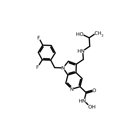 CC(O)CNCc1cn(Cc2ccc(F)cc2F)c2cnc(C(=O)NO)cc12